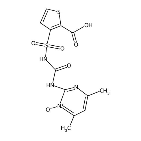 Cc1cc(C)[n+]([O-])c(NC(=O)NS(=O)(=O)c2ccsc2C(=O)O)n1